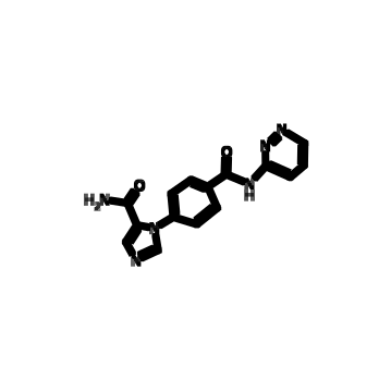 NC(=O)c1cncn1-c1ccc(C(=O)Nc2cccnn2)cc1